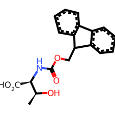 C[C@H](O)[C@H](NC(=O)OCC1c2ccccc2-c2ccccc21)C(=O)O